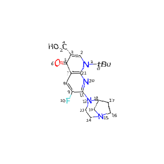 CC(C)(C)n1cc(C(=O)O)c(=O)c2cc(F)c(N3CCN4CCC3C4)nc21